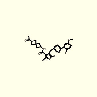 COc1ccc(F)c(-c2ccc(Cc3c(C)sc(C)c3C(=O)NC3CC4(C3)CC(C(C)=O)C4)cc2)c1